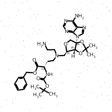 CC(C)(C)OC(=O)N[C@@H](CCN(CCN)C[C@H]1OC[C@@]2(n3cnc4c(N)ncnc43)OC(C)(C)O[C@H]12)C(=O)OCc1ccccc1